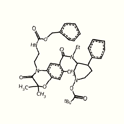 CCN(C(=O)c1cc2c(cc1C(F)(F)F)OC(C)(C)C(=O)N2CCNC(=O)OCc1ccccc1)C1CN(OC(=O)C(C)(C)C)CCC1c1ccccc1